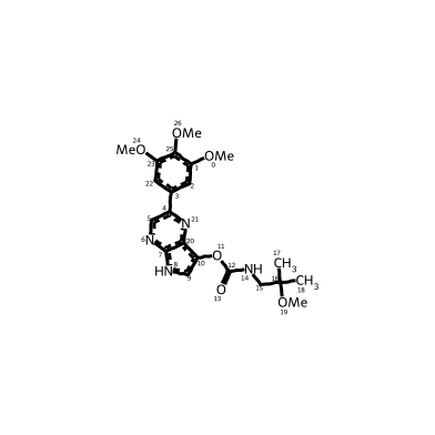 COc1cc(-c2cnc3[nH]cc(OC(=O)NCC(C)(C)OC)c3n2)cc(OC)c1OC